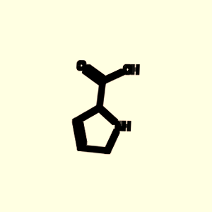 O=C(O)C1C=CCN1